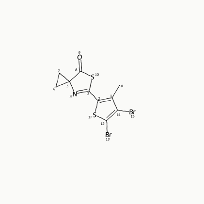 Cc1c(C2=NC3(CC3)C(=O)S2)sc(Br)c1Br